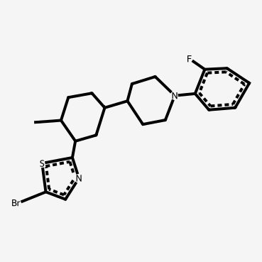 CC1CC[C](C2CCN(c3ccccc3F)CC2)CC1c1ncc(Br)s1